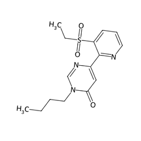 CCCCn1cnc(-c2ncccc2S(=O)(=O)CC)cc1=O